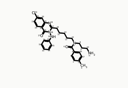 Cc1ccc(C(=O)N(CCCN)CCCCCc2nc3cc(Cl)ccc3c(=O)n2Nc2ccccc2)cc1